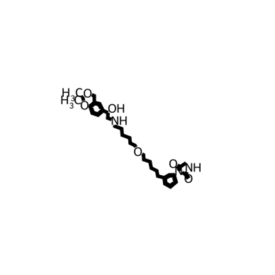 CC1(C)OCc2cc(C(O)CNCCCCCCOCCCCCCc3cccc(N4C(=O)CNC4=O)c3)ccc2O1